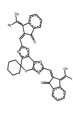 N#CC(C#N)=C1/C(=C/c2nc3c(s2)-c2sc(/C=C4\C(=O)c5ccccc5C4=C(C#N)C#N)nc2C2(CCCCC2)O3)C(=O)c2ccccc21